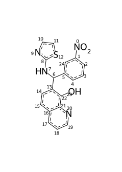 O=[N+]([O-])c1cccc(C(Nc2nccs2)c2ccc3cccnc3c2O)c1